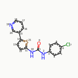 O=C(Nc1ccc(Cl)cc1)Nc1ccc(-c2cccnc2)s1